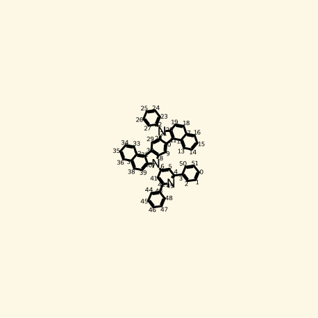 c1ccc(-c2cc(-n3c4cc5c6c7ccccc7ccc6n(-c6ccccc6)c5cc4c4c5ccccc5ccc43)cc(-c3ccccc3)n2)cc1